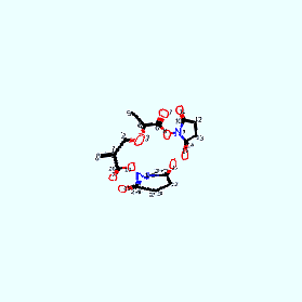 CC(COC(C)C(=O)ON1C(=O)CCC1=O)C(=O)ON1C(=O)CCC1=O